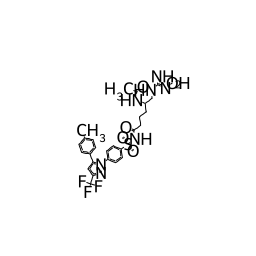 CC(=O)NC(CCCC(=O)NS(=O)(=O)c1ccc(-n2nc(C(F)(F)F)cc2-c2ccc(C)cc2)cc1)CNC(N)=NO